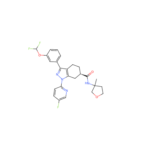 CC1(NC(=O)[C@@H]2CCc3c(-c4cccc(OC(F)F)c4)nn(-c4ccc(F)cn4)c3C2)CCOC1